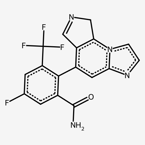 NC(=O)c1cc(F)cc(C(F)(F)F)c1-c1cc2nccn2c2c1C=NC2